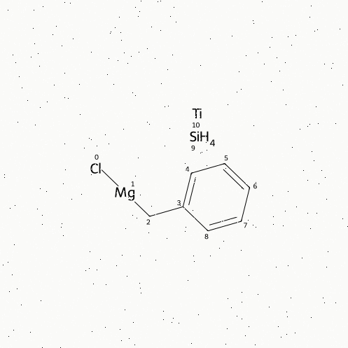 [Cl][Mg][CH2]c1ccccc1.[SiH4].[Ti]